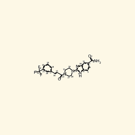 NC(=O)c1ccc2[nH]c(N3CCN(C(=O)/C=C/c4cccc(C(F)(F)F)c4)CC3)nc2c1